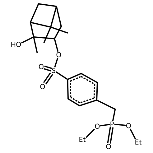 CCOP(=O)(Cc1ccc(S(=O)(=O)OC2CC3CC(C3(C)C)C2(C)O)cc1)OCC